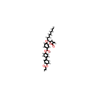 C=CC(=O)OC1=CC=C(C2=CC=C(OC(=O)c3ccc(OC(CCCCCCCC)C4CC(=C)C(=O)O4)cc3)CC2)CC1